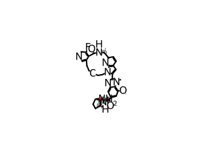 COc1cc(C(=O)N2CC3CC[C@@H]2[C@@H]3N)cc2nc(-c3cc4ccc5nc4n3CCCCCc3cncc(F)c3C(=O)N[C@@H]5C)n(C)c12